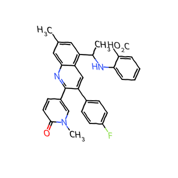 Cc1cc(C(C)Nc2ccccc2C(=O)O)c2cc(-c3ccc(F)cc3)c(-c3ccc(=O)n(C)c3)nc2c1